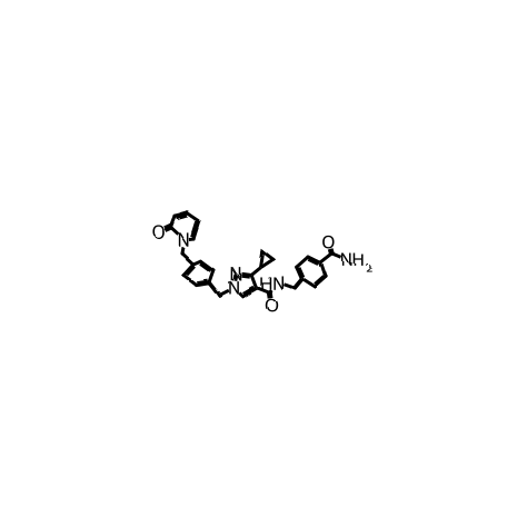 NC(=O)c1ccc(CNC(=O)c2cn(Cc3ccc(Cn4ccccc4=O)cc3)nc2C2CC2)cc1